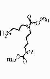 CCCCOC(=O)N(CCCN)CCCCNC(=O)OC(C)(C)C